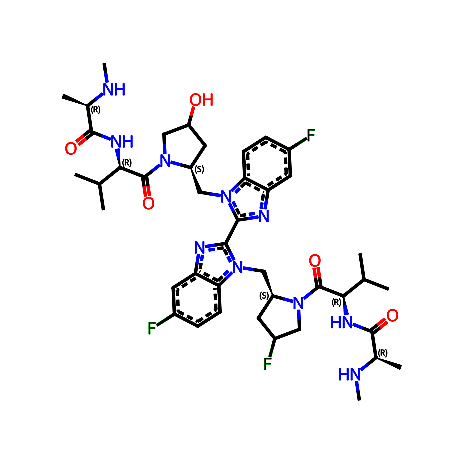 CN[C@H](C)C(=O)N[C@@H](C(=O)N1CC(O)C[C@H]1Cn1c(-c2nc3cc(F)ccc3n2C[C@@H]2CC(F)CN2C(=O)[C@H](NC(=O)[C@@H](C)NC)C(C)C)nc2cc(F)ccc21)C(C)C